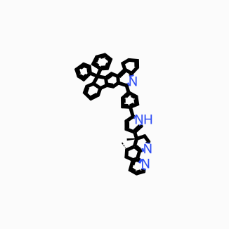 C[C@H]1Cc2cccnc2C2=C1[C@](C)(C1=CNC(c3ccc(C4N=C5C=CCCC5=C5C=C6C(=CC54)C4C=CC=CC4C6(c4ccccc4)c4ccccc4)cc3)C=C1)CC=N2